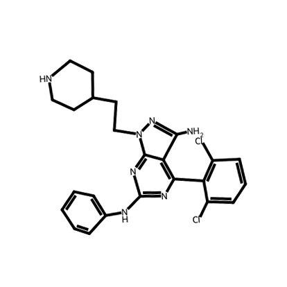 Nc1nn(CCC2CCNCC2)c2nc(Nc3ccccc3)nc(-c3c(Cl)cccc3Cl)c12